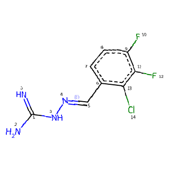 N=C(N)N/N=C/c1ccc(F)c(F)c1Cl